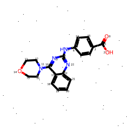 O=C(O)c1ccc(Nc2nc(N3CCOCC3)c3ccccc3n2)cc1